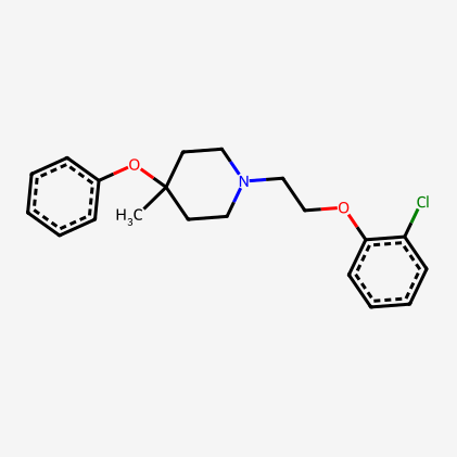 CC1(Oc2ccccc2)CCN(CCOc2ccccc2Cl)CC1